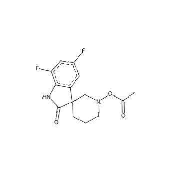 CC(=O)ON1CCCC2(C1)C(=O)Nc1c(F)cc(F)cc12